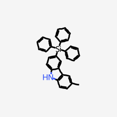 Cc1ccc2[nH]c3ccc([Si](c4ccccc4)(c4ccccc4)c4ccccc4)cc3c2c1